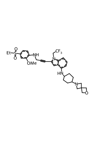 CCS(=O)(=O)c1ccc(NCC#Cc2cc3c(NC4CCC(N5CC6(COC6)C5)CC4)cccc3n2CC(F)(F)F)c(OC)c1